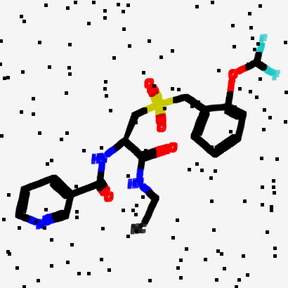 N#CCNC(=O)[C@H](CS(=O)(=O)Cc1ccccc1OC(F)F)NC(=O)c1cccnc1